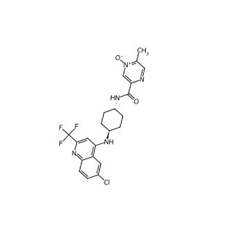 Cc1cnc(C(=O)N[C@H]2CC[C@H](Nc3cc(C(F)(F)F)nc4ccc(Cl)cc34)CC2)c[n+]1[O-]